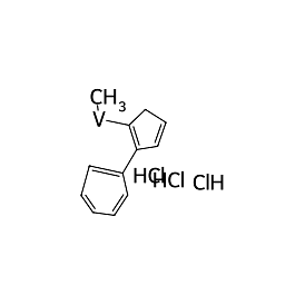 Cl.Cl.Cl.[CH3][V][C]1=C(c2ccccc2)C=CC1